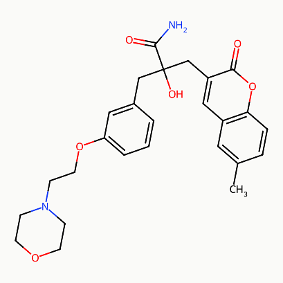 Cc1ccc2oc(=O)c(CC(O)(Cc3cccc(OCCN4CCOCC4)c3)C(N)=O)cc2c1